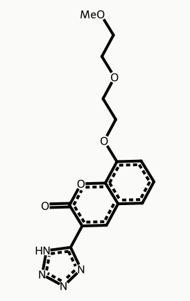 COCCOCCOc1cccc2cc(-c3nnn[nH]3)c(=O)oc12